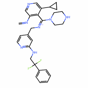 C=Nc1cncc(C2CC2)c1/C(=N\Cc1ccnc(NCC(F)(F)c2ccccc2)c1)N1CCNCC1